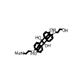 CNCCOc1ccc([C@](O)(c2ccc(O)cc2)[C@](O)(c2ccc(O)cc2)c2ccc(OCCO)cc2)cc1